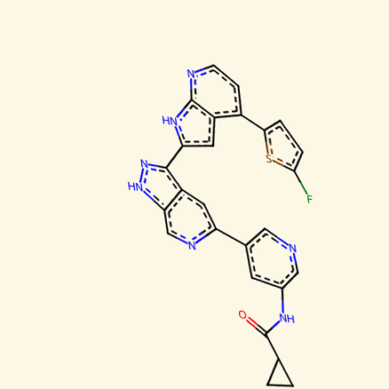 O=C(Nc1cncc(-c2cc3c(-c4cc5c(-c6ccc(F)s6)ccnc5[nH]4)n[nH]c3cn2)c1)C1CC1